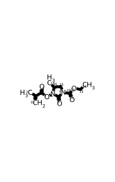 C=C(C)C(=O)ON1C(=O)N(C(=O)OCC)CC1C